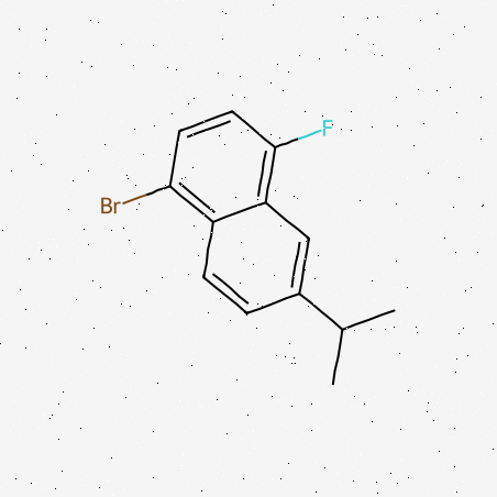 CC(C)c1ccc2c(Br)ccc(F)c2c1